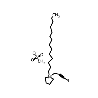 CCCCCCCCCCCCCC[N+]1(CC#CI)CCCC1.CS(=O)(=O)[O-]